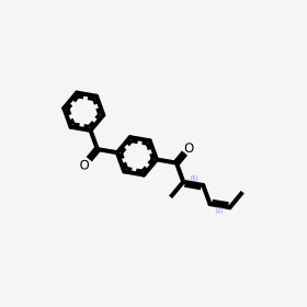 C/C=C\C=C(/C)C(=O)c1ccc(C(=O)c2ccccc2)cc1